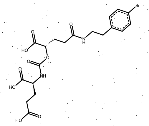 O=C(O)CC[C@H](NC(=O)O[C@@H](CCC(=O)NCCc1ccc(Br)cc1)C(=O)O)C(=O)O